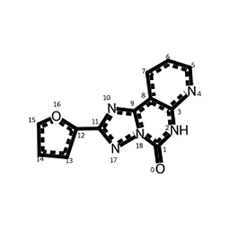 O=c1[nH]c2ncccc2c2nc(-c3ccco3)nn12